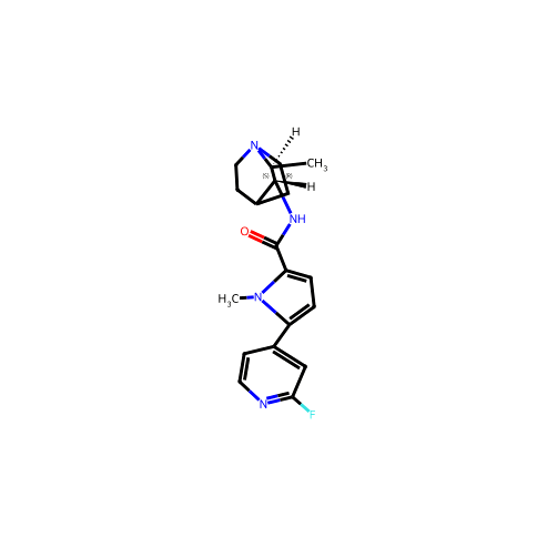 C[C@H]1[C@H](NC(=O)c2ccc(-c3ccnc(F)c3)n2C)C2CCN1CC2